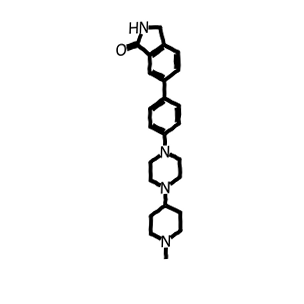 CN1CCC(N2CCN(c3ccc(-c4ccc5c(c4)C(=O)NC5)cc3)CC2)CC1